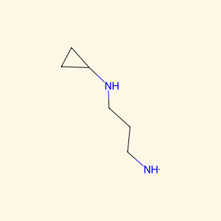 [NH]CCCNC1CC1